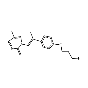 C=C1N=CC(I)=CN1/C=C(\C)c1ccc(OCCCF)cc1